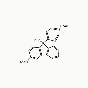 CCCC(c1ccccc1)(c1ccc(OC)cc1)c1ccc(OC)cc1